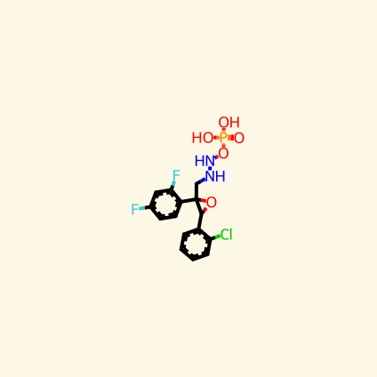 O=P(O)(O)ONNCC1(c2ccc(F)cc2F)OC1c1ccccc1Cl